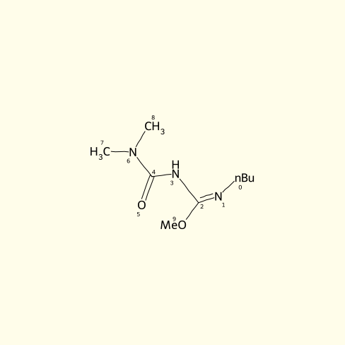 CCCCN=C(NC(=O)N(C)C)OC